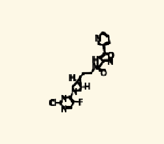 O=C(NCCC1[C@H]2CN(c3nc(Cl)ncc3F)C[C@@H]12)c1cc(-c2cccnc2)on1